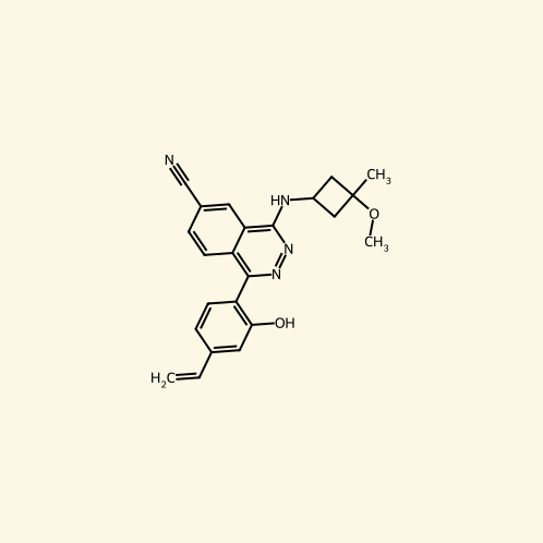 C=Cc1ccc(-c2nnc(NC3CC(C)(OC)C3)c3cc(C#N)ccc23)c(O)c1